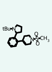 CC(C)(C)N1CCCC1c1ccccc1C1=CCN(S(C)(=O)=O)CC1